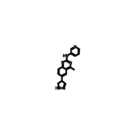 Cc1nc(Nc2cccnc2)nc2ccc(C3C=NNC3)cc12